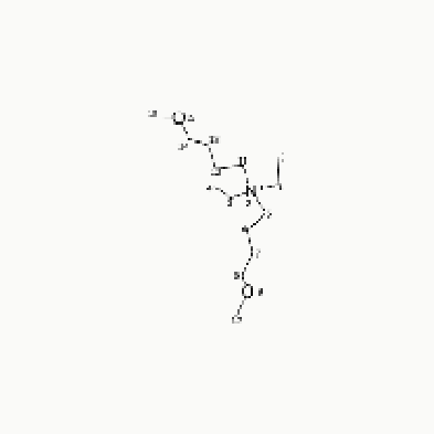 CC[N+](CC)(CCCCOC)CCCCOC